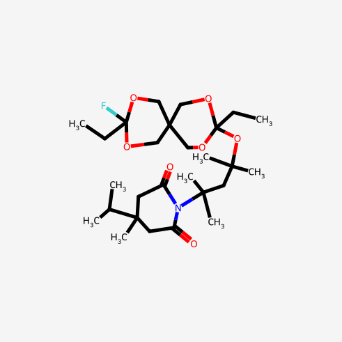 CCC1(F)OCC2(CO1)COC(CC)(OC(C)(C)CC(C)(C)N1C(=O)CC(C)(C(C)C)CC1=O)OC2